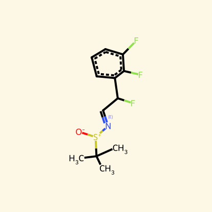 CC(C)(C)[S+]([O-])/N=C/C(F)c1cccc(F)c1F